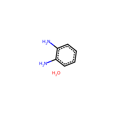 Nc1ccccc1N.O